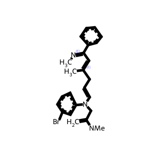 C=C(CN(C=CC/C(C)=C/C(=N\C)c1ccccc1)c1cccc(Br)c1)NC